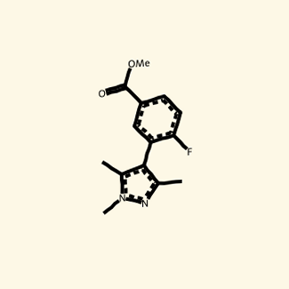 COC(=O)c1ccc(F)c(-c2c(C)nn(C)c2C)c1